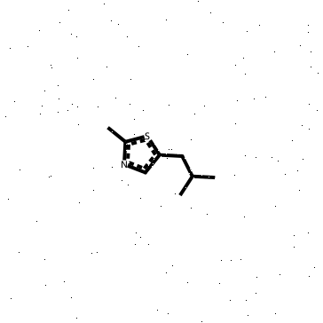 Cc1ncc(CC(C)C)s1